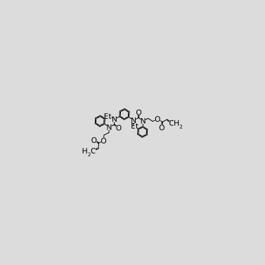 C=CC(=O)OCCN(C(=O)N(CC)c1cccc(N(CC)C(=O)N(CCOC(=O)C=C)c2ccccc2)c1)c1ccccc1